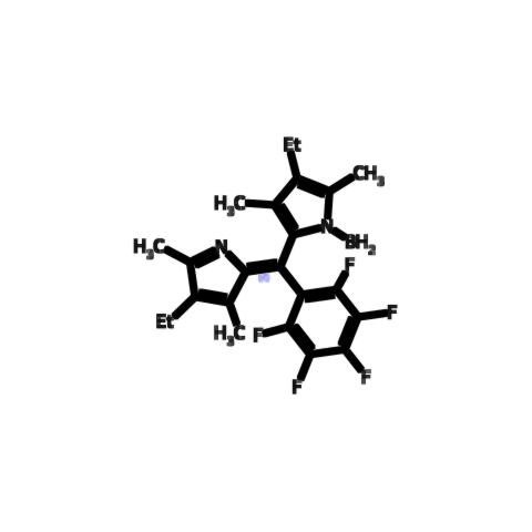 Bn1c(C)c(CC)c(C)c1/C(=C1\N=C(C)C(CC)=C1C)c1c(F)c(F)c(F)c(F)c1F